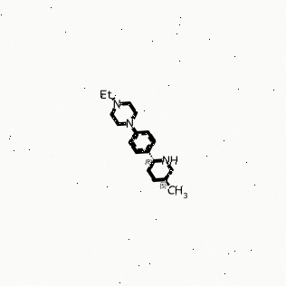 CCN1CCN(c2ccc([C@H]3CC[C@H](C)CN3)cc2)CC1